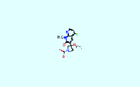 COC1(c2cc3c(Cl)ccnc3n(C)c2=O)CCN(C(=O)O)C1